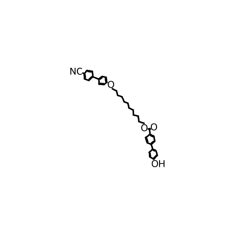 N#Cc1ccc(-c2ccc(OCCCCCCCCCCCCOC(=O)c3ccc(-c4ccc(O)cc4)cc3)cc2)cc1